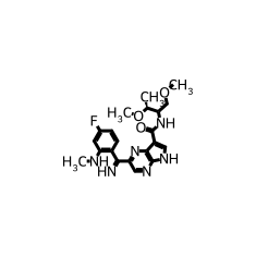 CNc1cc(F)ccc1C(=N)c1cnc2[nH]cc(C(=O)NC(COC)[C@H](C)OC)c2n1